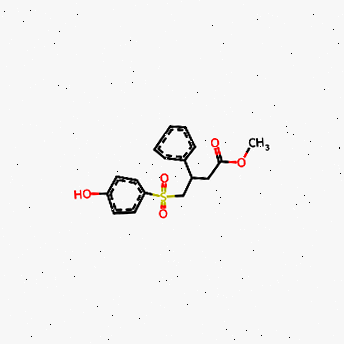 COC(=O)CC(CS(=O)(=O)c1ccc(O)cc1)c1ccccc1